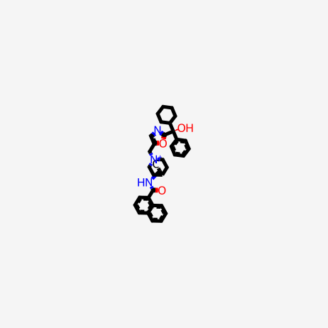 O=C(NC1C[N+]2(Cc3cnc([C@](O)(c4ccccc4)C4CCCCC4)o3)CCC1CC2)c1cccc2ccccc12